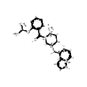 CC(C)Oc1ccccc1C(=O)N1C[C@H](Oc2nccn3nccc23)CC[C@H]1C